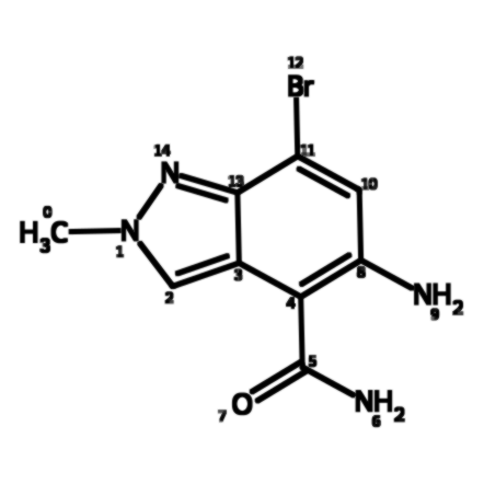 Cn1cc2c(C(N)=O)c(N)cc(Br)c2n1